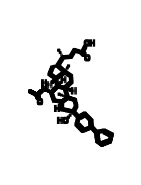 CC(=O)N[C@@H]1C[C@@H]2C[C@](O)(c3ccc(-c4ccccc4)cc3)CC[C@]2(C)[C@H]2CC[C@]3(C)[C@@H]([C@H](C)CCC(=O)O)CC[C@H]3[C@H]12